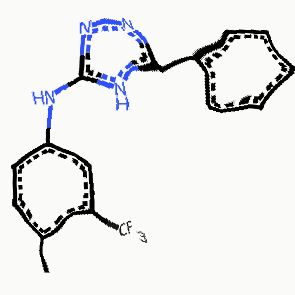 Cc1ccc(Nc2nnc(-c3ccccc3)[nH]2)cc1C(F)(F)F